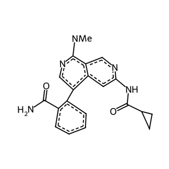 CNc1ncc(-c2ccccc2C(N)=O)c2cc(NC(=O)C3CC3)ncc12